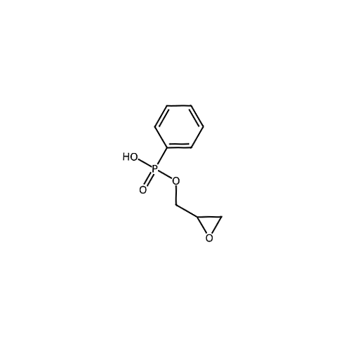 O=P(O)(OCC1CO1)c1ccccc1